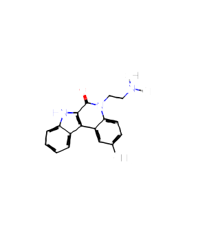 Cc1ccc2c(c1)c1c([nH]c3ccccc31)c(=O)n2CCN(C)C